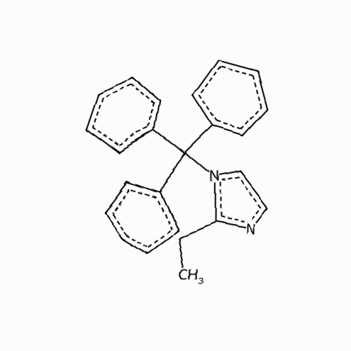 CCc1nccn1C(c1ccccc1)(c1ccccc1)c1ccccc1